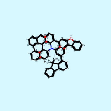 CC1(C)c2ccccc2-c2cccc(-c3cccc(N(c4ccccc4-c4ccc5c(c4)oc4ccccc45)c4ccccc4-c4cccc5cccc(-c6ccccc6)c45)c3)c21